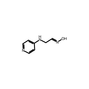 ON=CCNc1ccncc1